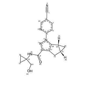 N#Cc1ccc(-n2nc(C(=O)NC3(CO)CC3)c3c2[C@@H]2C[C@@H]2C3)nc1